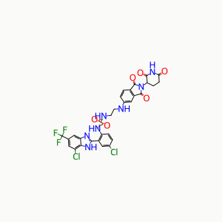 O=C1CCC(N2C(=O)c3ccc(NCCNS(=O)(=O)Nc4ccc(Cl)cc4-c4nc5cc(C(F)(F)F)cc(Cl)c5[nH]4)cc3C2=O)C(=O)N1